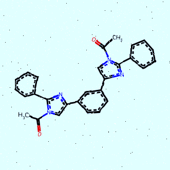 CC(=O)n1cc(-c2cccc(-c3cn(C(C)=O)c(-c4ccccc4)n3)c2)nc1-c1ccccc1